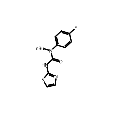 CCCCN(C(=O)Nc1nccs1)c1ccc(F)cc1